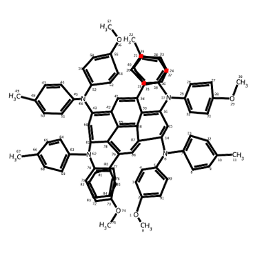 COc1ccc(N(c2ccc(C)cc2)c2cc(N(c3ccc(C)cc3)c3ccc(OC)cc3)c3c(C4CCCCC4)cc4c(N(c5ccc(C)cc5)c5ccc(OC)cc5)cc(N(c5ccc(C)cc5)c5ccc(OC)cc5)c5c(C6CCCCC6)cc2c3c45)cc1